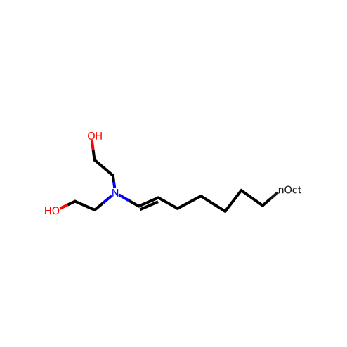 CCCCCCCCCCCCCC=CN(CCO)CCO